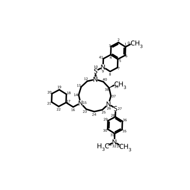 Cc1ccc2c(c1)CCN(SN1CCCN(CC3CCCCC3)CCCN(Sc3ccc(N(C)C)cc3)C[C@H](C)C1)C2